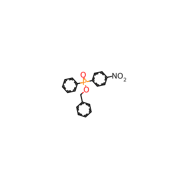 O=[N+]([O-])c1ccc(P(=O)(OCc2ccccc2)c2ccccc2)cc1